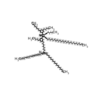 CCCCCC#CC1=C(c2cc(CCCCC)cc(CCCCCCCC)c2)[N+](=[N-])C(c2cc(CCCCC)cc(CCCCCCCC)c2)=C1C#CCCCCCCCCCCCCCCCCCCCCCCCCCCC.CCCCCCCCCCCCCCCCCC[CH2][Ni][CH2]CCCCCCCCCCCCCCCCCC